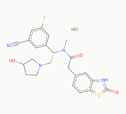 CN(C(=O)Cc1ccc2sc(=O)[nH]c2c1)[C@H](CN1CCC(O)C1)c1cc(F)cc(C#N)c1.Cl